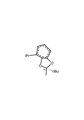 CCCC[C@@]1(C)Oc2cccc(C(C)C)c2O1